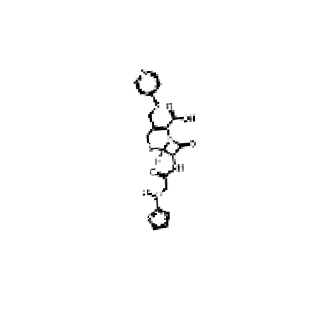 O=C(C[S+]([O-])c1cccs1)NC1C(=O)N2C(C(=O)O)=C(CSc3ccncc3)CS[C@@H]12